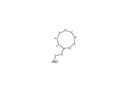 O=NCCC1CCCCCCCC1